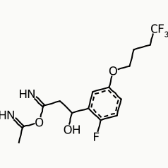 CC(=N)OC(=N)CC(O)c1cc(OCCCC(F)(F)F)ccc1F